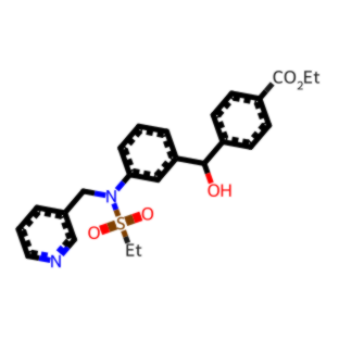 CCOC(=O)c1ccc(C(O)c2cccc(N(Cc3cccnc3)S(=O)(=O)CC)c2)cc1